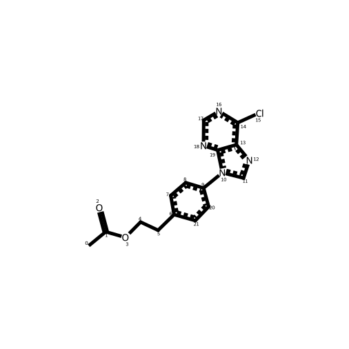 CC(=O)OCCc1ccc(-n2cnc3c(Cl)ncnc32)cc1